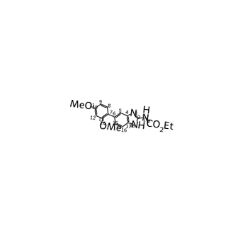 CCOC(=O)Nc1nc2cc(-c3ccc(OC)cc3OC)ccc2[nH]1